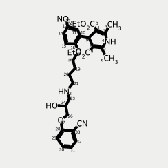 CCOC(=O)C1=C(C)NC(C)=C(C(=O)OCC)C1c1cc([N+](=O)[O-])ccc1OCCCCNCC(O)COc1ccccc1C#N